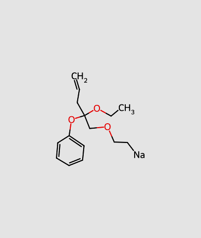 C=CCC(COC[CH2][Na])(OCC)Oc1ccccc1